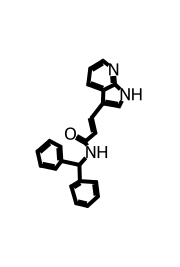 O=C(C=Cc1c[nH]c2ncccc12)NC(c1ccccc1)c1ccccc1